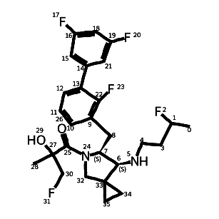 CC(F)CCN[C@@H]1[C@H](Cc2cccc(-c3cc(F)cc(F)c3)c2F)N(C(=O)C(C)(O)CF)CC12CC2